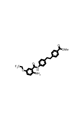 COC(=O)c1ccc(CCc2ccc(NC(=O)c3cc(OCC(F)(F)F)ccc3N)cc2)cc1